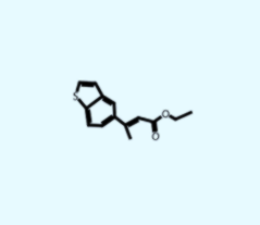 CCOC(=O)C=C(C)c1ccc2sccc2c1